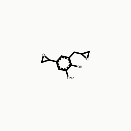 COc1cc(C2CO2)cc(CC2CO2)c1O